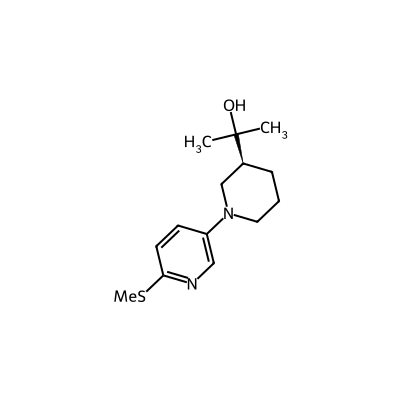 CSc1ccc(N2CCC[C@H](C(C)(C)O)C2)cn1